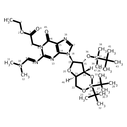 CCOC(=O)Cn1c(/N=C/N(C)C)nc2c(ncn2[C@@H]2O[C@@H]3CO[Si](C(C)(C)C)(C(C)(C)C)O[C@H]3[C@H]2O[Si](C)(C)C(C)(C)C)c1=O